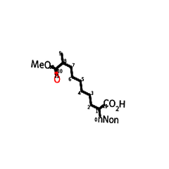 CCCCCCCCCC(CCCCCCC(C)C(=O)OC)C(=O)O